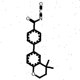 CC1(C)CCOc2ccc(-c3ccc(C(=O)N=C=O)cc3)cc21